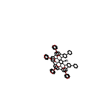 N#Cc1c(C2c3ccc(-c4ccccc4)cc3-c3cc(-c4ccccc4)ccc32)c(C2c3ccc(-c4ccccc4)cc3-c3cc(-c4ccccc4)ccc32)c(-n2c3ccc(-c4ccccc4)cc3c3cc(-c4ccccc4)ccc32)c(C2c3ccc(-c4ccccc4)cc3-c3cc(-c4ccccc4)ccc32)c1C1c2ccc(-c3ccccc3)cc2-c2cc(-c3ccccc3)ccc21